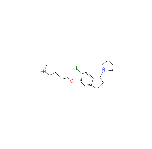 CN(C)CCCCOc1cc2c(cc1Cl)C(N1CCCC1)CC2